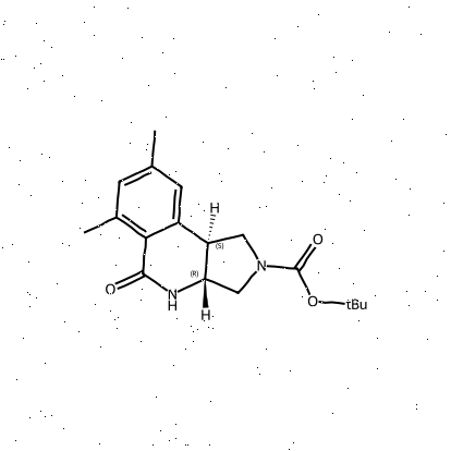 Cc1cc(C)c2c(c1)[C@H]1CN(C(=O)OC(C)(C)C)C[C@@H]1NC2=O